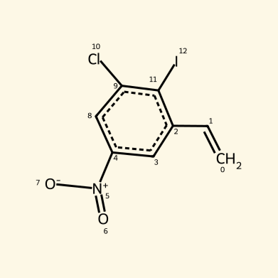 C=Cc1cc([N+](=O)[O-])cc(Cl)c1I